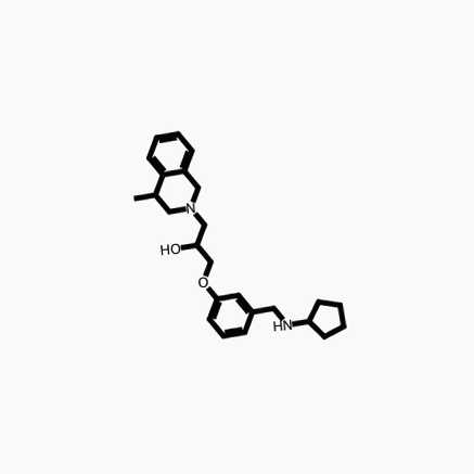 CC1CN(CC(O)COc2cccc(CNC3CCCC3)c2)Cc2ccccc21